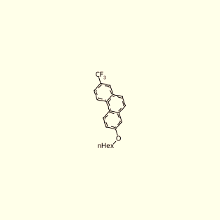 CCCCCCOc1ccc2c(ccc3cc(C(F)(F)F)ccc32)c1